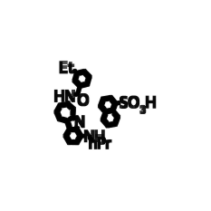 CCCNc1cccc2c3cccc(NC(=O)c4cccc(CC)c4)cc-3nc12.O=S(=O)(O)c1cccc2ccccc12